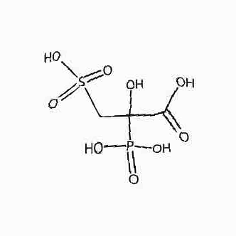 O=C(O)C(O)(CS(=O)(=O)O)P(=O)(O)O